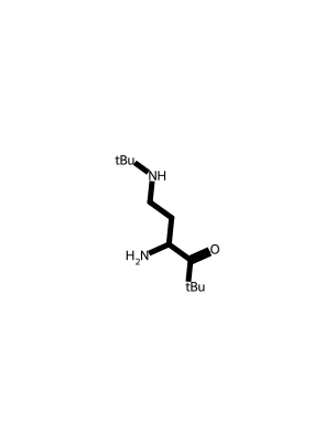 CC(C)(C)NCCC(N)C(=O)C(C)(C)C